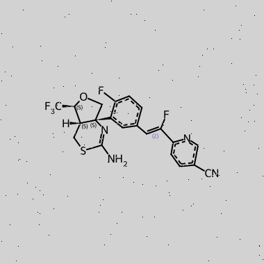 N#Cc1ccc(/C(F)=C/c2ccc(F)c([C@]34CO[C@H](C(F)(F)F)[C@H]3CSC(N)=N4)c2)nc1